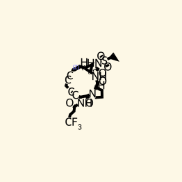 O=C(CCC(F)(F)F)NC1CCCCC/C=C\[C@@H]2C[C@@]2(C(=O)NS(=O)(=O)C2CC2)NC(=O)[C@@H]2CCCN2C1=O